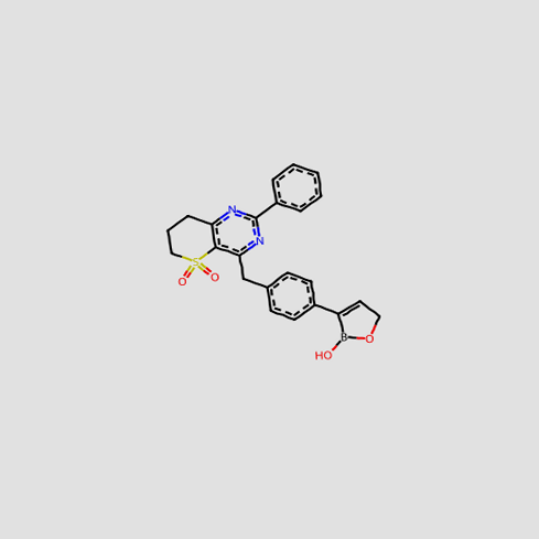 O=S1(=O)CCCc2nc(-c3ccccc3)nc(Cc3ccc(C4=CCOB4O)cc3)c21